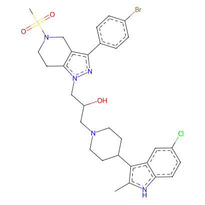 Cc1[nH]c2ccc(Cl)cc2c1C1CCN(CC(O)Cn2nc(-c3ccc(Br)cc3)c3c2CCN(S(C)(=O)=O)C3)CC1